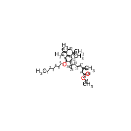 CCCCCCCOc1cc2c(cc1C1(CC=CC(C)=CC(=O)OCC)CC1)C(C)(C)CCC2(C)C